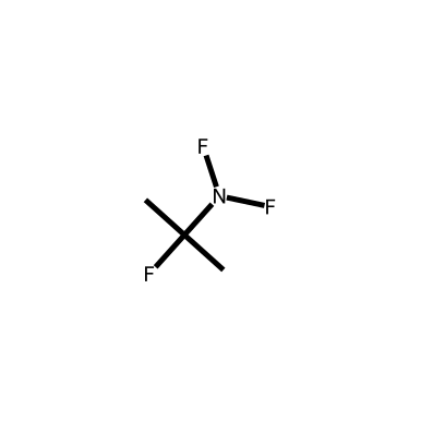 CC(C)(F)N(F)F